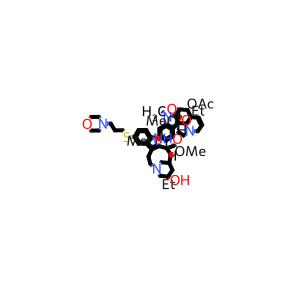 CC[C@]1(O)C[C@H]2CN(CCc3c([nH]c4ccc(SCCCN5CCOCC5)cc34)[C@@](C(=O)OC)(c3cc4c(cc3OC)N(C)[C@@]35O[C@]3(C(=O)OC)[C@H](OC(C)=O)[C@]3(CC)C=CCN6CC[C@]45[C@@H]63)C2)C1